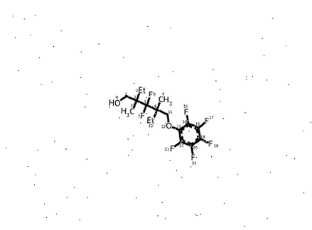 CCC(C)(CO)C(F)(F)C(C)(CC)COc1c(F)c(F)c(F)c(F)c1F